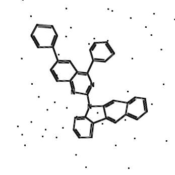 c1ccc(-c2ccc3nc(-n4c5ccccc5c5cc6ccccc6cc54)nc(-c4ccccc4)c3c2)cc1